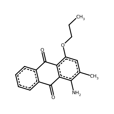 CCCOc1cc(C)c(N)c2c1C(=O)c1ccccc1C2=O